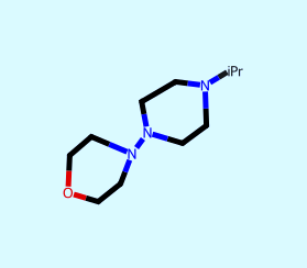 CC(C)N1CCN(N2CCOCC2)CC1